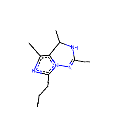 CCCc1nc(C)c2n1N=C(C)NC2C